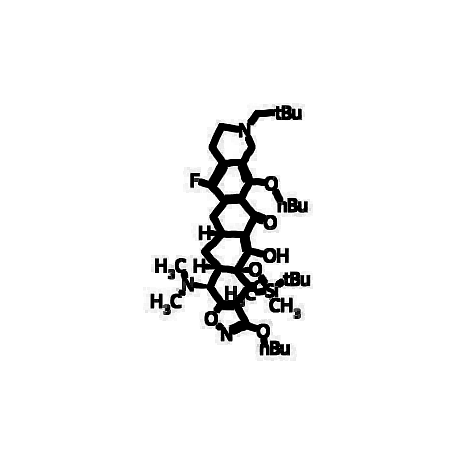 CCCCOc1noc2c1C(=O)[C@@]1(O[Si](C)(C)C(C)(C)C)C(O)=C3C(=O)c4c(c(F)c5c(c4OCCCC)CN(CC(C)(C)C)CC5)C[C@H]3C[C@H]1[C@@H]2N(C)C